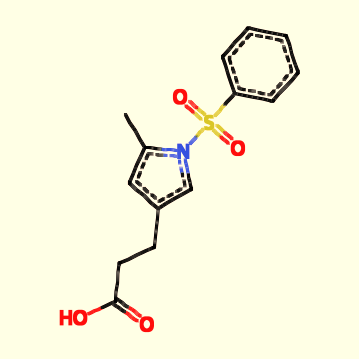 Cc1cc(CCC(=O)O)cn1S(=O)(=O)c1ccccc1